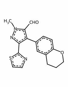 Cn1nc(-c2nccs2)c(-c2ccc3c(c2)CCCO3)c1C=O